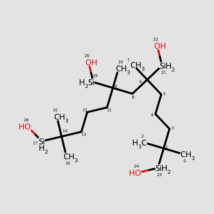 CC(C)(CCCC(C)(CC(C)(CCCC(C)(C)[SiH2]O)[SiH2]O)[SiH2]O)[SiH2]O